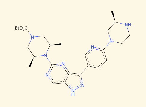 CCOC(=O)N1C[C@@H](C)N(c2ncc3[nH]nc(-c4ccc(N5CCN[C@H](C)C5)nc4)c3n2)[C@@H](C)C1